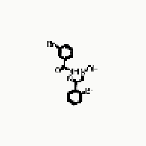 O=C(NN=C(C=NO)c1ccccc1Br)c1cccc(Br)c1